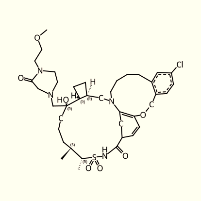 COCCN1CCN(C[C@@]2(O)CCC[C@H](C)[C@@H](C)S(=O)(=O)NC(=O)C3C=CC4=C(C3)N(CCCCc3cc(Cl)ccc3CO4)C[C@@H]3CC[C@H]32)CC1=O